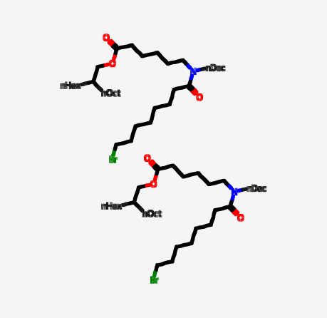 CCCCCCCCCCN(CCCCCC(=O)OCC(CCCCCC)CCCCCCCC)C(=O)CCCCCCCBr.CCCCCCCCCCN(CCCCCC(=O)OCC(CCCCCC)CCCCCCCC)C(=O)CCCCCCCBr